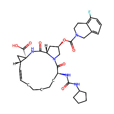 O=C(NC1CCCC1)N[C@H]1CCCCC/C=C\[C@@H]2C[C@@]2(C(=O)O)NC(=O)[C@@H]2C[C@@H](OC(=O)N3CCc4c(F)cccc4C3)CN2C1=O